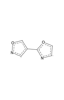 [c]1coc(-c2[c]noc2)n1